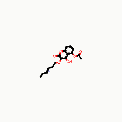 CC/C=C/CCOc1c(O)c2c(OC(C)=O)cccc2oc1=O